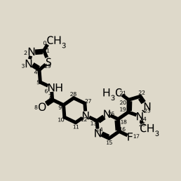 Cc1nnc(CNC(=O)C2CCN(c3ncc(F)c(-c4c(C)cnn4C)n3)CC2)s1